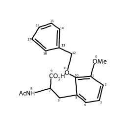 COc1cccc(CC(NC(C)=O)C(=O)O)c1OCc1ccccc1